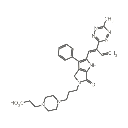 C=C/C(=C\c1[nH]c2c(c1-c1ccccc1)CN(CCCN1CCN(CCC(=O)O)CC1)C2=O)c1nnc(C)nn1